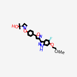 COCCOc1cc2[nH]nc(-c3cc(-c4ccc(ON5CC[C@@H]5C(C)(C)O)cc4)on3)c2cc1F